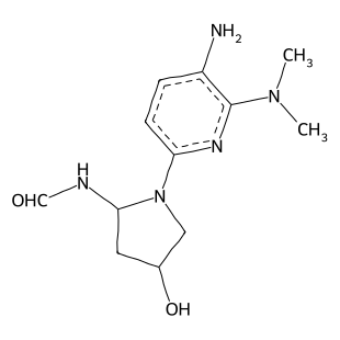 CN(C)c1nc(N2CC(O)CC2NC=O)ccc1N